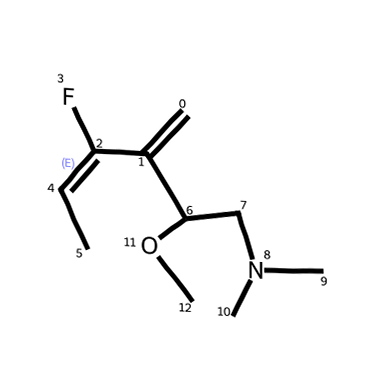 C=C(/C(F)=C\C)C(CN(C)C)OC